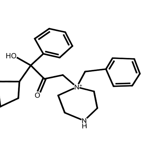 O=C(C[N+]1(Cc2ccccc2)CCNCC1)C(O)(c1ccccc1)C1CCC1